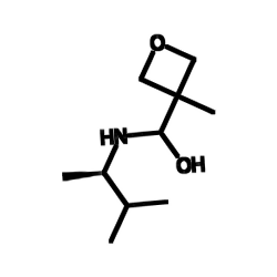 CC(C)[C@@H](C)NC(O)C1(C)COC1